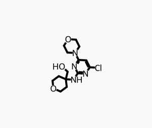 OCC1(Nc2nc(Cl)cc(N3CCOCC3)n2)CCOCC1